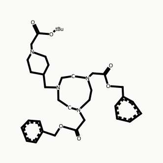 CC(C)(C)OC(=O)CN1CCC(CN2CCN(CC(=O)OCc3ccccc3)CCN(CC(=O)OCc3ccccc3)CC2)CC1